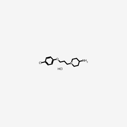 Cl.NC1CCN(CCCOc2ccc(Cl)cc2)CC1